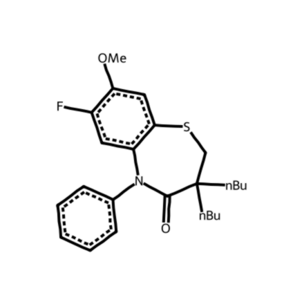 CCCCC1(CCCC)CSc2cc(OC)c(F)cc2N(c2ccccc2)C1=O